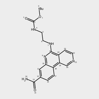 CC(C)(C)OC(=O)NCCNc1nc2cc(C(N)=O)ccc2c2cnccc12